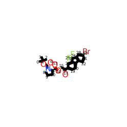 CC(C)(C)OC(=O)N1CCC[C@@H]1C(=O)OCC(=O)c1ccc2c(c1)C(F)(F)c1cc(Br)ccc1-2